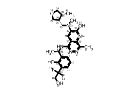 Cc1nnc(N[C@H](C)c2cccc(C(F)(F)CO)c2F)c2cc(N(C)C[C@@H]3COC[C@@H]3C)c(O)nc12